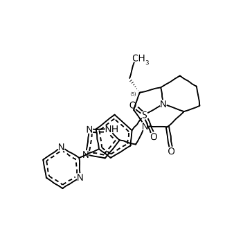 CC[C@H]1CN(Cc2cnn[nH]2)C(=O)C2CCCC1N2S(=O)(=O)c1ccc(-c2ncccn2)cc1